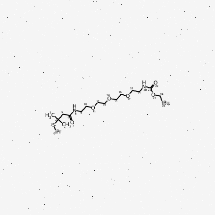 CC(C)SC(C)(C)CC(=O)NCCOCCOCCOCCNC(=O)OCC(C)(C)C